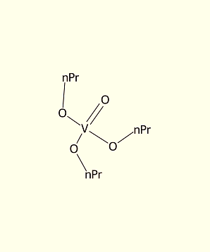 CCC[O][V](=[O])([O]CCC)[O]CCC